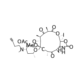 C#CCCN(C)[C@H]1C[C@@H](C)O[C@@H](O[C@@H]2[C@@H](C)C(=O)[C@@H](C)C(=O)O[C@H](I)[C@@]3(C)OC(=O)N[C@@H]3[C@@H](C)C(=O)[C@H](C)C[C@@]2(C)OC)[C@@H]1OC(C)=O